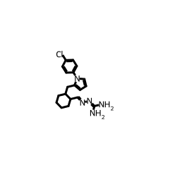 NC(N)=N/N=C/C1CCCCC1Cc1cccn1-c1ccc(Cl)cc1